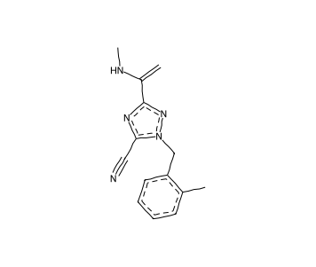 C=C(NC)c1nc(C#N)n(Cc2ccccc2C)n1